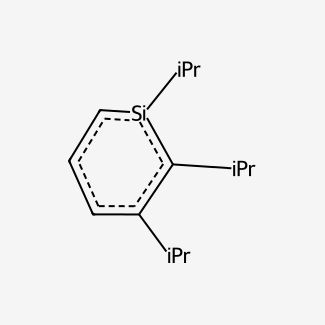 CC(C)c1ccc[si](C(C)C)c1C(C)C